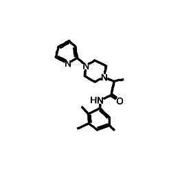 Cc1cc(C)c(C)c(NC(=O)C(C)N2CCN(c3ccccn3)CC2)c1